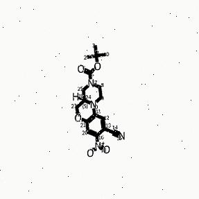 CC(C)(C)OC(=O)N1CCN2c3cc(C#N)c([N+](=O)[O-])cc3OC[C@@H]2C1